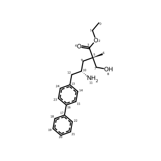 CCOC(=O)[C@](C)(CO)C[C@H](N)Cc1ccc(-c2ccccc2)cc1